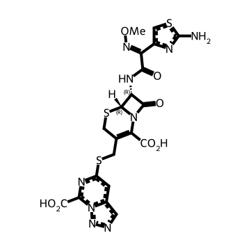 CON=C(C(=O)N[C@@H]1C(=O)N2C(C(=O)O)=C(CSc3cc4cnnn4c(C(=O)O)n3)CS[C@H]12)c1csc(N)n1